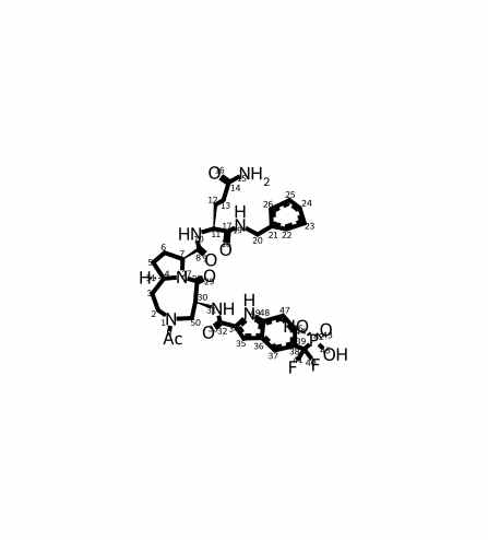 CC(=O)N1CC[C@H]2CC[C@@H](C(=O)N[C@@H](CCC(N)=O)C(=O)NCc3ccccc3)N2C(=O)[C@@H](NC(=O)c2cc3cc(C(F)(F)P(=O)(O)O)ccc3[nH]2)C1